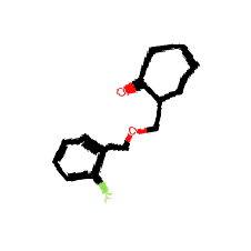 O=C1CCCCC1COCc1ccccc1F